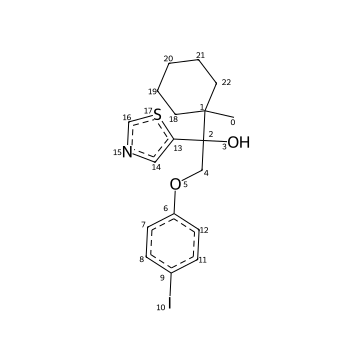 CC1(C(O)(COc2ccc(I)cc2)c2cncs2)CCCCC1